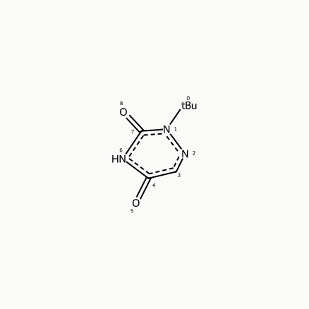 CC(C)(C)n1ncc(=O)[nH]c1=O